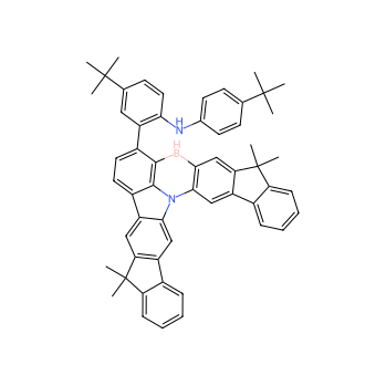 CC(C)(C)c1ccc(Nc2ccc(C(C)(C)C)cc2-c2ccc3c4cc5c(cc4n4c3c2Bc2cc3c(cc2-4)-c2ccccc2C3(C)C)-c2ccccc2C5(C)C)cc1